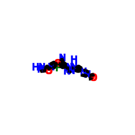 N#Cc1cc(-c2ncnc(Nc3ccc(N4CCN(C5COC5)CC4)cc3)n2)ccc1OC1CCN(C(=O)Cc2ccn[nH]2)CC1F